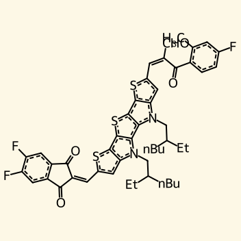 CCCCC(CC)Cn1c2cc(C=C3C(=O)c4cc(F)c(F)cc4C3=O)sc2c2sc3c4sc(/C=C(/C=O)C(=O)c5ccc(F)cc5C)cc4n(CC(CC)CCCC)c3c21